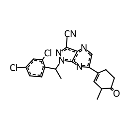 CC1C=C(c2cnc3c(C#N)nn(C(C)c4ccc(Cl)cc4Cl)c3n2)CCC1=O